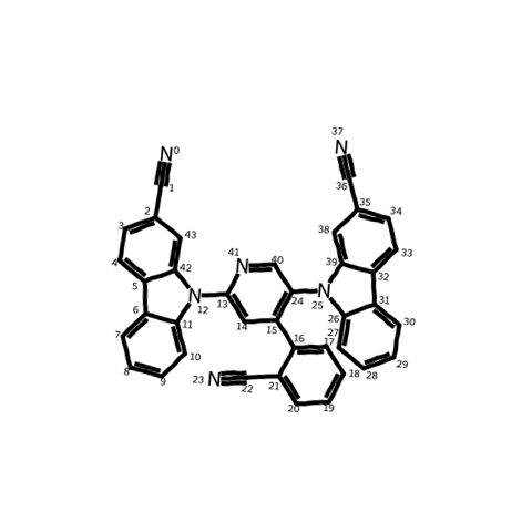 N#Cc1ccc2c3ccccc3n(-c3cc(-c4ccccc4C#N)c(-n4c5ccccc5c5ccc(C#N)cc54)cn3)c2c1